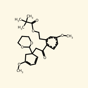 COC1=CC=CC(CC(=O)c2ccc(OC)cc2CCOC(=O)C(C)(C)C)(C2OCCCO2)C1